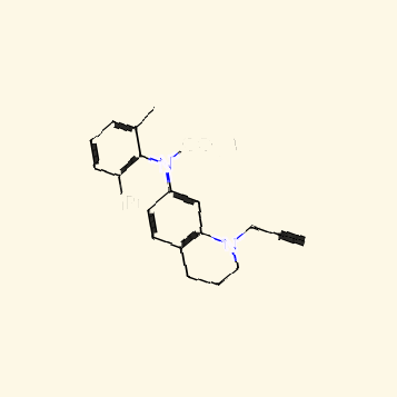 C#CCN1CCCc2ccc(N(C(=O)O)c3c(C)cccc3C(C)C)cc21